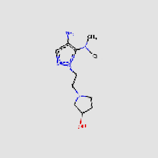 CN(C)c1c(N)cnn1CCN1CCC(O)C1